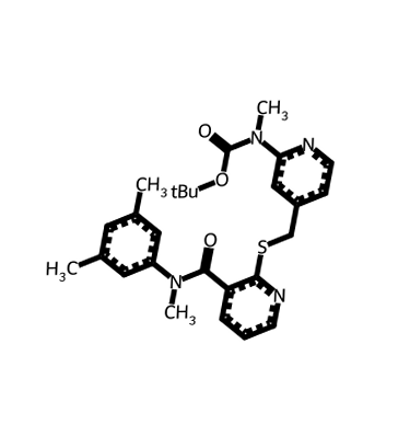 Cc1cc(C)cc(N(C)C(=O)c2cccnc2SCc2ccnc(N(C)C(=O)OC(C)(C)C)c2)c1